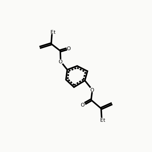 C=C(CC)C(=O)Oc1ccc(OC(=O)C(=C)CC)cc1